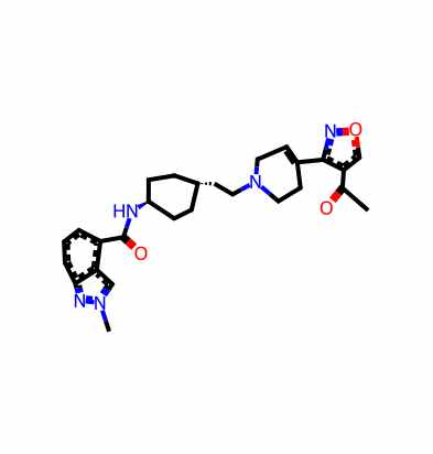 CC(=O)c1conc1C1=CCN(CC[C@H]2CC[C@H](NC(=O)c3cccc4nn(C)cc34)CC2)CC1